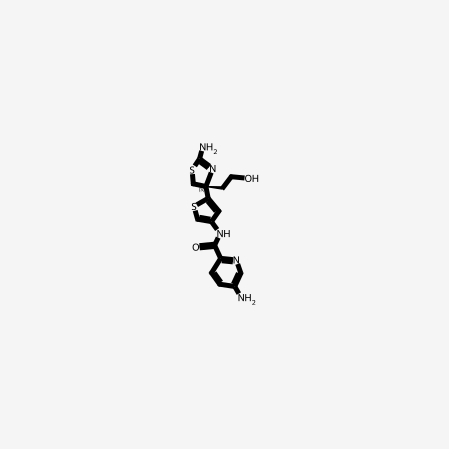 NC1=N[C@](CCO)(c2cc(NC(=O)c3ccc(N)cn3)cs2)CS1